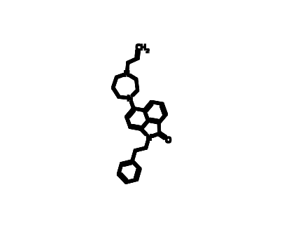 C=CCN1CCCN(c2ccc3c4c(cccc24)C(=O)N3CCc2ccccc2)CC1